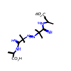 CC(NC(=N)C(C)(C)/N=N/C(C)(C)C(=N)NC(C)C(=O)O)C(=O)O